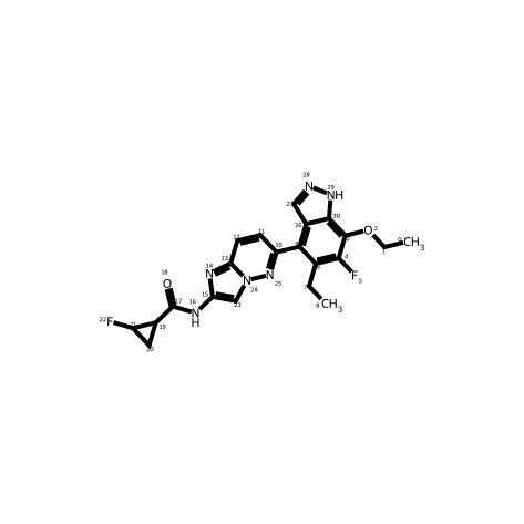 CCOc1c(F)c(CC)c(-c2ccc3nc(NC(=O)C4CC4F)cn3n2)c2cn[nH]c12